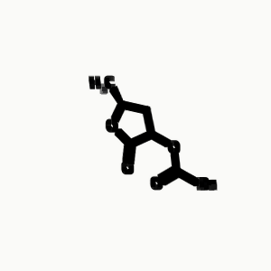 CCC(C)C(=O)OC1C[C@H](C)OC1=O